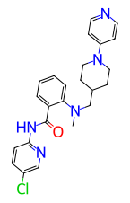 CN(CC1CCN(c2ccncc2)CC1)c1ccccc1C(=O)Nc1ccc(Cl)cn1